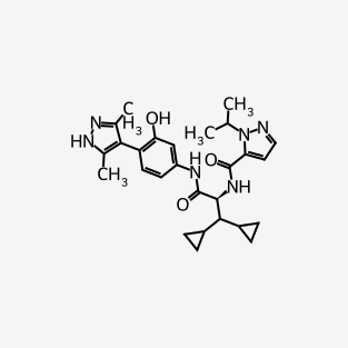 Cc1n[nH]c(C)c1-c1ccc(NC(=O)[C@@H](NC(=O)c2ccnn2C(C)C)C(C2CC2)C2CC2)cc1O